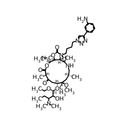 CCO[C@@H](O[C@@H]1CC(=O)[C@@H](C)C(=O)O[C@H](CC)[C@@]2(C)OC(=O)N(CCCCn3cc(-c4cccc(N)c4)nn3)[C@@H]2[C@@H](C)NC[C@H](C)C[C@]1(C)OC)C(O)C(CC)N(C)C